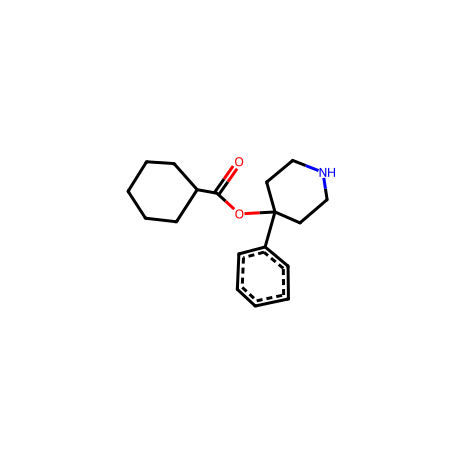 O=C(OC1(c2ccccc2)CCNCC1)C1CCCCC1